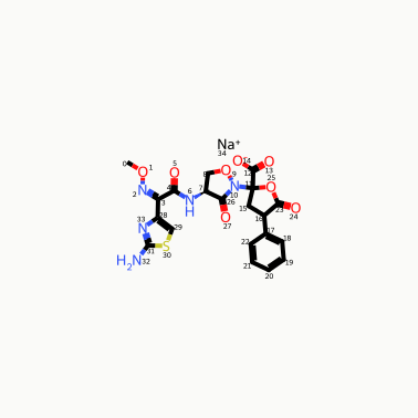 CO/N=C(\C(=O)N[C@H]1CON(C2(C(=O)[O-])CC(c3ccccc3)C(=O)O2)C1=O)c1csc(N)n1.[Na+]